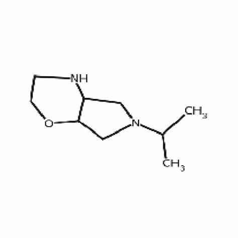 CC(C)N1CC2NCCOC2C1